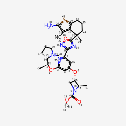 C[C@H](Oc1cc(O[C@H]2CN(C(=O)OC(C)(C)C)[C@@H]2C)cc(-c2noc([C@@]3(C)CCCc4sc(N)c(C#N)c43)n2)n1)[C@@H]1CCCN1C